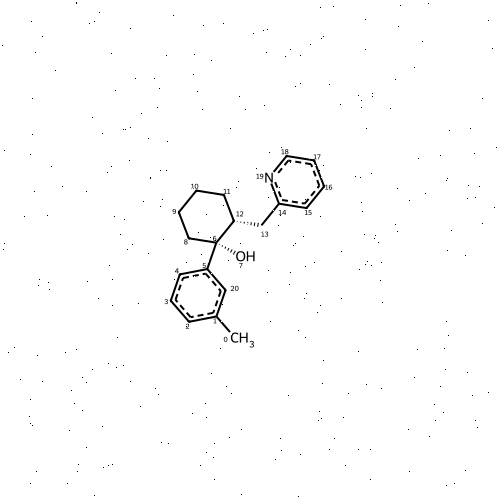 Cc1cccc([C@@]2(O)CCCC[C@@H]2Cc2ccccn2)c1